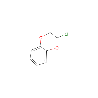 Cl[C]1COc2ccccc2O1